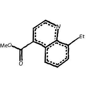 CCc1cccc2c(C(=O)OC)ccnc12